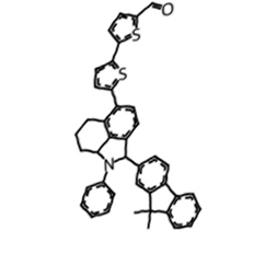 CC1(C)c2ccccc2-c2ccc(C3c4ccc(-c5ccc(-c6ccc(C=O)s6)s5)c5c4C(CCC5)N3c3ccccc3)cc21